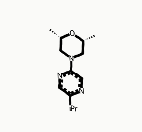 CC(C)c1cnc(N2C[C@@H](C)O[C@@H](C)C2)cn1